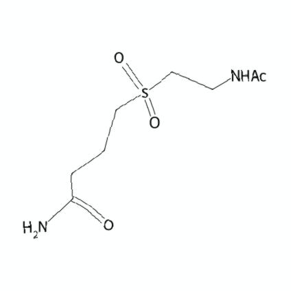 CC(=O)NCCS(=O)(=O)CCCC(N)=O